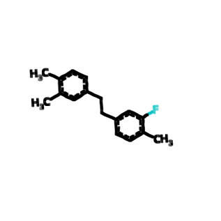 Cc1ccc(CCc2ccc(C)c(F)c2)cc1C